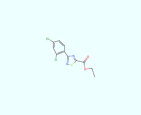 CCOC(=O)c1nc(-c2ccc(Cl)cc2Cl)ns1